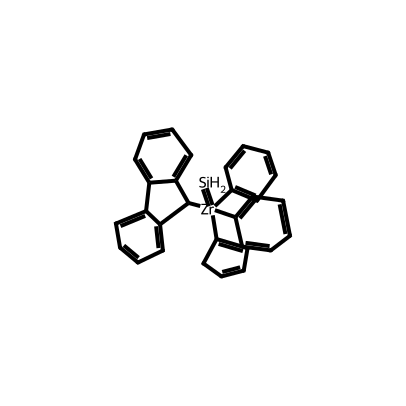 [SiH2]=[Zr]([C]1=CC=CC1)([c]1ccccc1)([c]1ccccc1)[CH]1c2ccccc2-c2ccccc21